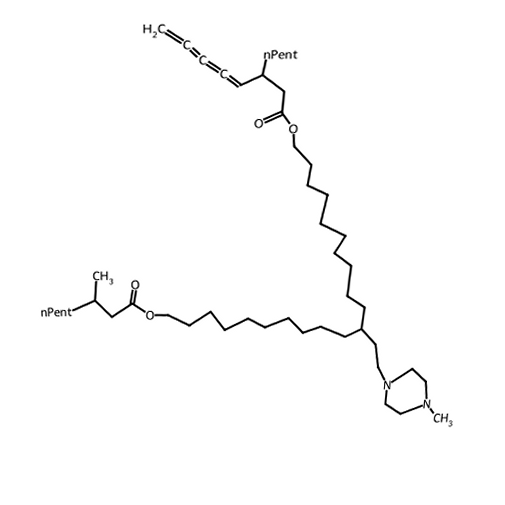 C=C=C=C=CC(CCCCC)CC(=O)OCCCCCCCCCCC(CCCCCCCCCCOC(=O)CC(C)CCCCC)CCN1CCN(C)CC1